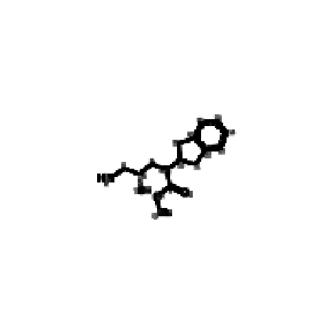 CC(C)(C)OC(=O)N(C[C@H](O)CN)C1Cc2ccccc2C1